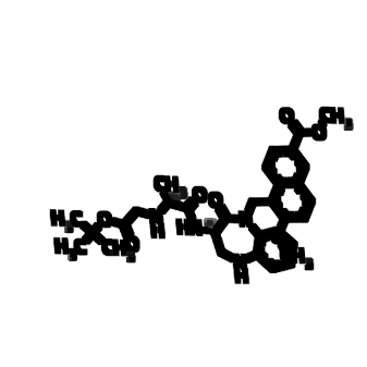 COC(=O)c1ccc2c(CN3C(=O)[C@@H](NC(=O)[C@H](C)NCC(=O)OC(C)(C)C)CNc4ccccc43)c(OC)ccc2c1